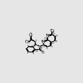 O=C(Cl)CC1c2ccccc2C(=O)N1c1ccc2ccc(Cl)nc2n1